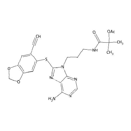 C#Cc1cc2c(cc1Sc1nc3c(N)ncnc3n1CCCNC(=O)C(C)(C)OC(C)=O)OCO2